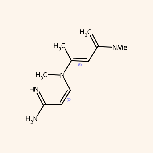 C=C(/C=C(\C)N(C)/C=C\C(=N)N)NC